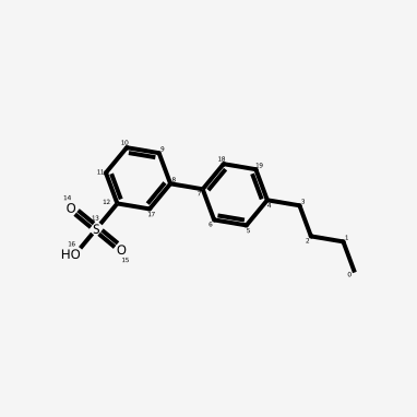 CCCCc1ccc(-c2cccc(S(=O)(=O)O)c2)cc1